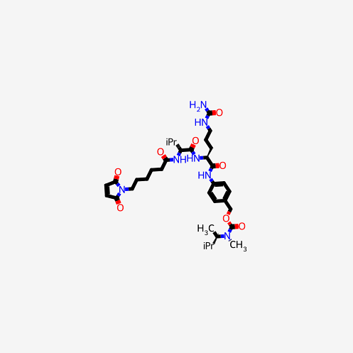 CC(C)C(NC(=O)CCCCCN1C(=O)C=CC1=O)C(=O)N[C@@H](CCCNC(N)=O)C(=O)Nc1ccc(COC(=O)N(C)[C@H](C)C(C)C)cc1